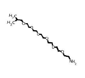 CC(C)COCCOCCOCCOCCOCCOCCN